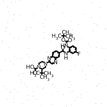 CC(C)(C)OC(=O)Nc1ccc(F)cc1NC(=O)c1ccc2nc(N3CCN(C(=O)O)C(C(C)(C)C)C3)cnc2c1